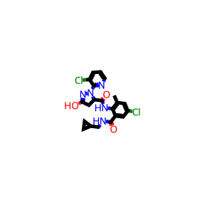 Cc1cc(Cl)cc(C(=O)NCC2CC2)c1NC(=O)C1CC(O)=NN1c1ncccc1Cl